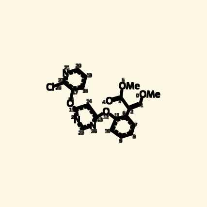 COC=C(C(=O)OC)c1ccccc1Oc1cc(Oc2cccnc2Cl)ncn1